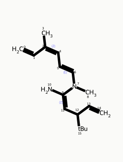 C=C/C(C)=C\C=C\N(C)/C(N)=C\C(C=C)C(C)(C)C